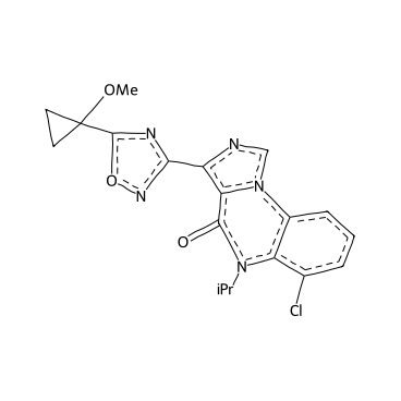 COC1(c2nc(-c3ncn4c3c(=O)n(C(C)C)c3c(Cl)cccc34)no2)CC1